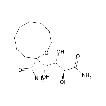 NC(=O)[C@@H](O)[C@@H](O)[C@H](O)[C@@]1(C(N)=O)CCCCCCCCO1